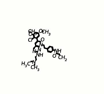 C=CC(=O)Nc1ccc(CCn2c(=O)c(-c3cc(OC)cc(OC)c3Cl)cc3cnc(NCCN(CC)CC)nc32)cc1